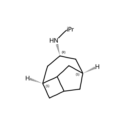 CC(C)N[C@@H]1C[C@H]2CC3C[C@@H](C1)C3C2